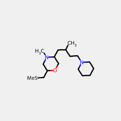 CSCC1CN(C)C(CC(C)CCN2CCCCC2)CO1